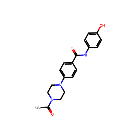 CC(C)(C)C(=O)N1CCN(c2ccc(C(=O)Nc3ccc(O)cc3)cc2)CC1